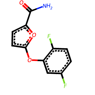 NC(=O)c1ccc(Oc2cc(F)ccc2F)o1